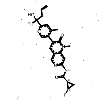 [2H]C(O)(CC=C)c1cc(C)c(-c2cc3cnc(NC(=O)[C@H]4C[C@H]4F)cc3n(C)c2=O)cn1